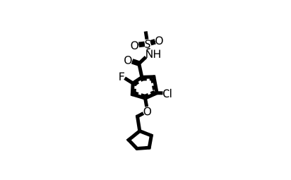 CS(=O)(=O)NC(=O)c1cc(Cl)c(OCC2CCCC2)cc1F